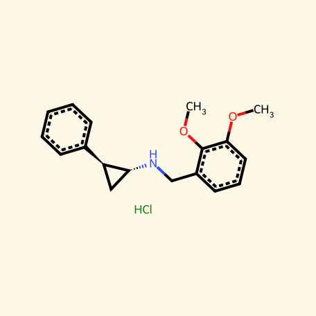 COc1cccc(CN[C@@H]2C[C@H]2c2ccccc2)c1OC.Cl